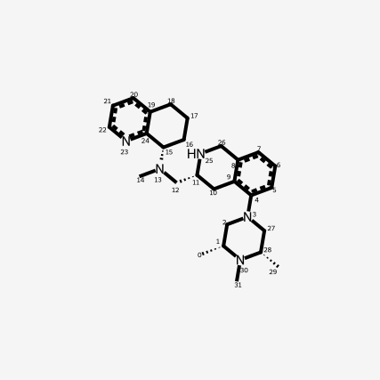 C[C@@H]1CN(c2cccc3c2C[C@H](CN(C)[C@H]2CCCc4cccnc42)NC3)C[C@H](C)N1C